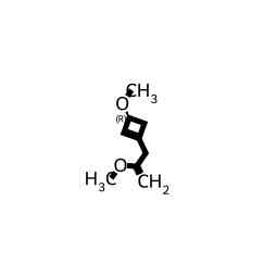 C=C(CC1=C[C@H](OC)C1)OC